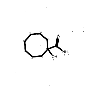 NC(=O)C1(O)CCCCCCC1